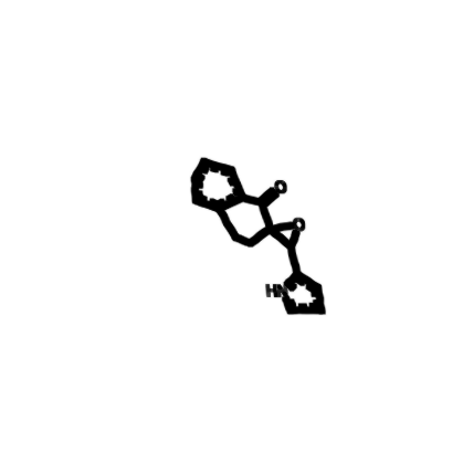 O=C1c2ccccc2CCC12OC2c1ccc[nH]1